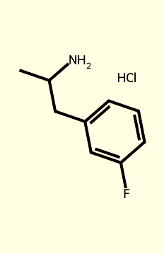 CC(N)Cc1cccc(F)c1.Cl